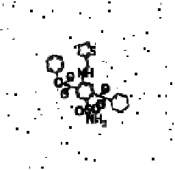 NS(=O)(=O)c1cc(S(=O)(=O)Oc2ccccc2)c(NCc2cccs2)cc1S(=O)(=O)C1CCCCC1